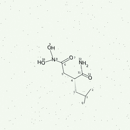 CC(C)C[C@H](CC(=O)N(O)O)C(N)=O